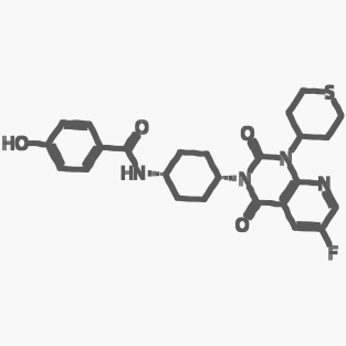 O=C(N[C@H]1CC[C@@H](n2c(=O)c3cc(F)cnc3n(C3CCSCC3)c2=O)CC1)c1ccc(O)cc1